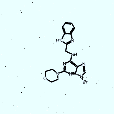 CC(C)n1cnc2c(NCc3nc4ccccc4[nH]3)nc(N3CCOCC3)nc21